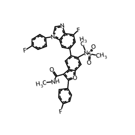 CNC(=O)c1c(-c2ccc(F)cc2)oc2cc(N(C)S(C)(=O)=O)c(-c3cc(F)c4ncn(-c5ccc(F)cc5)c4c3)cc12